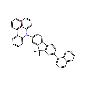 CC1(C)c2cc(-c3cccc4ccccc34)ccc2-c2ccc(N(c3ccccc3)c3ccccc3-c3ccccc3)cc21